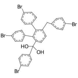 OC(O)(c1ccc(Br)cc1)c1ccc(Cc2ccc(Br)cc2)c(-c2ccc(Br)cc2)c1-c1ccc(Br)cc1